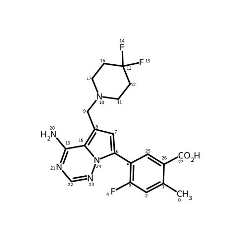 Cc1cc(F)c(-c2cc(CN3CCC(F)(F)CC3)c3c(N)ncnn23)cc1C(=O)O